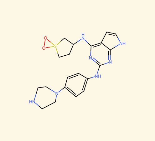 c1cc2c(NC3CCS4(C3)OO4)nc(Nc3ccc(N4CCNCC4)cc3)nc2[nH]1